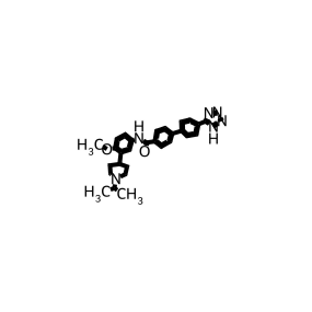 COc1ccc(NC(=O)c2ccc(-c3ccc(-c4nnn[nH]4)cc3)cc2)cc1C1CCN(C(C)C)CC1